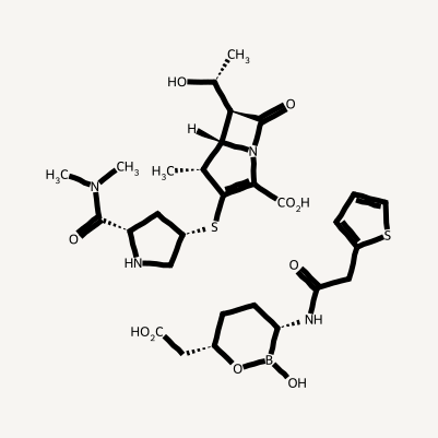 C[C@@H](O)[C@H]1C(=O)N2C(C(=O)O)=C(S[C@@H]3CN[C@H](C(=O)N(C)C)C3)[C@H](C)[C@H]12.O=C(O)C[C@@H]1CC[C@H](NC(=O)Cc2cccs2)B(O)O1